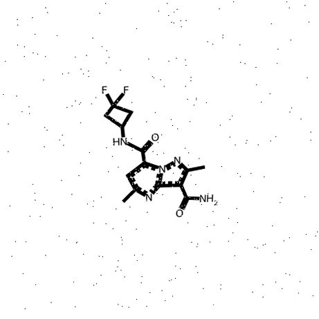 Cc1cc(C(=O)NC2CC(F)(F)C2)n2nc(C)c(C(N)=O)c2n1